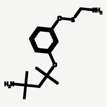 CC(C)(N)CC(C)(C)Oc1cccc(OSCN)c1